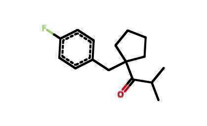 CC(C)C(=O)C1(Cc2ccc(F)cc2)CCCC1